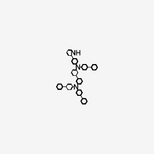 C1=CNC(c2ccc(N(C3=CC=CC(c4cccc(N(C5=CCC(c6ccccc6)C=C5)c5ccc(-c6ccccc6)cc5)c4)C3)c3ccc(-c4ccccc4)cc3)cc2)C=C1